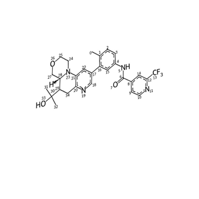 Cc1ccc(NC(=O)c2ccnc(C(F)(F)F)c2)cc1-c1cnc2c(c1)N1CCOC[C@H]1C(C(C)(C)O)C2